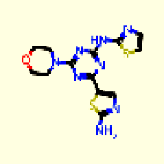 Nc1ncc(-c2nc(Nc3nccs3)nc(N3CCOCC3)n2)s1